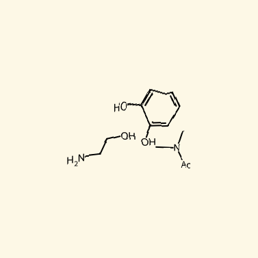 CC(=O)N(C)C.NCCO.Oc1ccccc1O